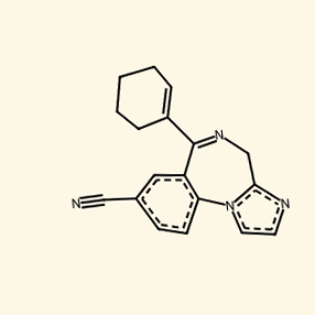 N#Cc1ccc2c(c1)C(C1=CCCCC1)=NCc1nccn1-2